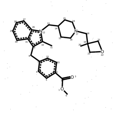 COC(=O)c1ccc(Cc2c(C)n(CC3CCN(CC4(C)COC4)CC3)c3ccccc23)cc1